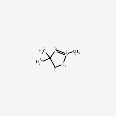 CS1=NC(C)(C)CO1